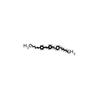 CCCCCC#Cc1ccc(C#Cc2ccc(CC[C@H]3CC[C@H](CCCCCCC)CC3)cc2)cc1